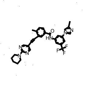 Cc1cn(-c2cc(NC(=O)c3ccc(C)c(C#Cc4cnc(N5CCCCC5)nc4)c3)cc(C(F)(F)F)c2)cn1